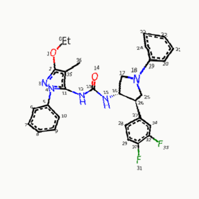 CCOc1nn(-c2ccccc2)c(NC(=O)N[C@@H]2CN(c3ccccc3)C[C@H]2c2ccc(F)c(F)c2)c1C